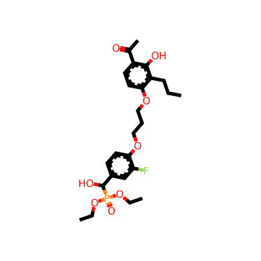 CCCc1c(OCCCOc2ccc(C(O)P(=O)(OCC)OCC)cc2F)ccc(C(C)=O)c1O